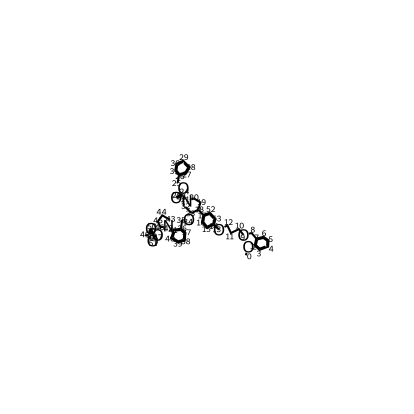 COc1ccccc1COCCCOc1ccc(C2CCN(C(=O)OCc3ccccc3)CC2OCc2ccccc2N2CCC[C@@H]2OS(C)(=O)=O)cc1